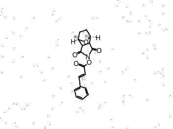 O=C(/C=C/c1ccccc1)ON1C(=O)C2C(C1=O)[C@H]1CC[C@@H]2O1